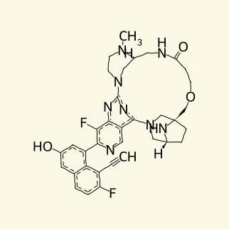 C#Cc1c(F)ccc2cc(O)cc(-c3ncc4c5nc(nc4c3F)N3CCN(C)[C@H](CNC(=O)CCOC[C@]46CC[C@H](CN5C4)N6)C3)c12